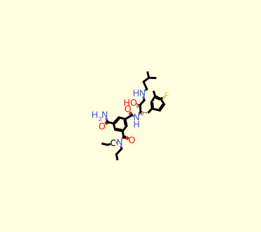 CCCN(CCC)C(=O)c1cc(C(N)=O)cc(C(=O)N[C@@H](Cc2ccc(F)c(C)c2)[C@H](O)CNCCC(C)C)c1